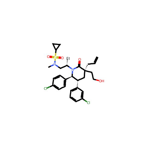 C=CC[C@]1(CCO)C[C@H](c2cccc(Cl)c2)[C@@H](c2ccc(Cl)cc2)N([C@@H](CC)CN(C)S(=O)(=O)C2CC2)C1=O